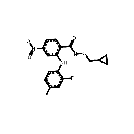 O=C(NOCC1CC1)c1ccc([N+](=O)[O-])cc1Nc1ccc(I)cc1F